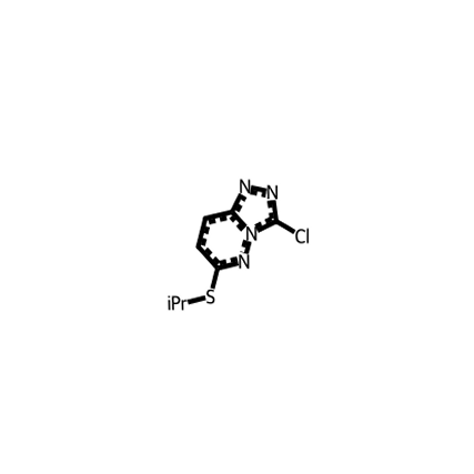 CC(C)Sc1ccc2nnc(Cl)n2n1